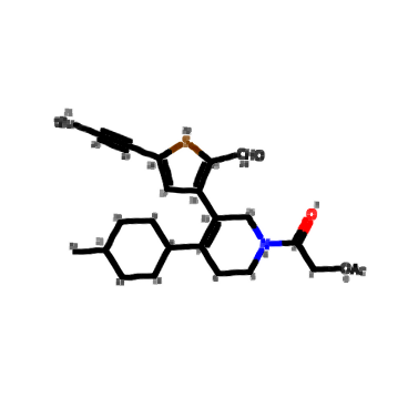 CC(=O)OCC(=O)N1CCC(C2CCC(C)CC2)=C(c2cc(C#CC(C)(C)C)sc2C=O)C1